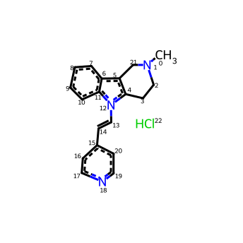 CN1CCc2c(c3ccccc3n2/C=C/c2ccncc2)C1.Cl